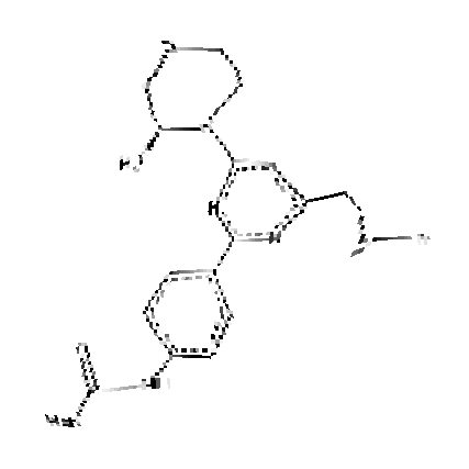 CNC(=O)Nc1ccc(-c2nc(CSC(C)C)cc(N3CCOC[C@@H]3C)n2)cc1